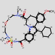 COc1ccc2c(c1)C[C@@H]1Cn3c-2c(C2CCCCC2)c2ccc(cc23)C(=O)NS(=O)(=O)N(C)CCOCCN(C)C1=O